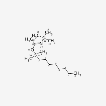 CCCCCCCC[Si](C)(C)OC(C)=N[Si](C)(C)C